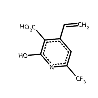 C=Cc1cc(C(F)(F)F)nc(O)c1C(=O)O